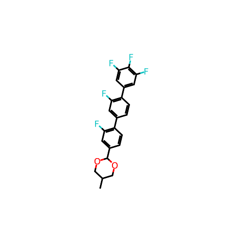 CC1COC(c2ccc(-c3ccc(-c4cc(F)c(F)c(F)c4)c(F)c3)c(F)c2)OC1